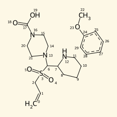 C=CCS(=O)(=O)C(C1CCCCN1)N1CCN(C(=O)O)CC1.COc1ccccc1